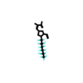 C=CC1CC(/C=C(/C)C(=C)C)CC1C(F)(F)C(F)(F)C(F)(F)C(F)(F)C(F)(F)C(F)(F)F